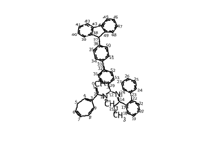 C/C=C(/C1=CCC=CC=C1)N(C)[C@H](/N=C(\CC)c1ccccc1-c1ccccc1)c1ccc(-c2ccc(C3c4ccccc4-c4ccccc43)cc2)cc1